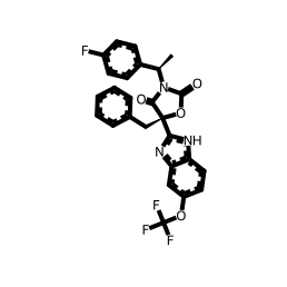 C[C@H](c1ccc(F)cc1)N1C(=O)O[C@](Cc2ccccc2)(c2nc3cc(OC(F)(F)F)ccc3[nH]2)C1=O